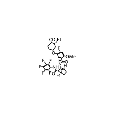 CCOC(=O)[C@H]1CC[C@@H](Oc2cc(C(=O)N[C@@H]3[C@H]4CC[C@H](C4)[C@@H]3C(=O)Nc3c(F)c(F)c(F)c(F)c3F)c(OC)cc2F)CC1